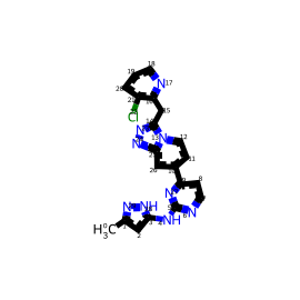 Cc1cc(Nc2nccc(-c3ccn4c(Cc5ncccc5Cl)nnc4c3)n2)[nH]n1